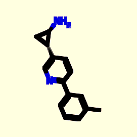 Cc1cccc(-c2ccc([C@@H]3C[C@H]3N)cn2)c1